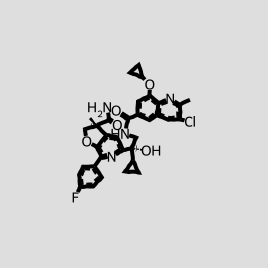 Cc1nc2c(OC3CC3)cc(C(=O)NC[C@](O)(c3cc4c(c(-c5ccc(F)cc5)n3)OC[C@]4(C)C(N)=O)C3CC3)cc2cc1Cl